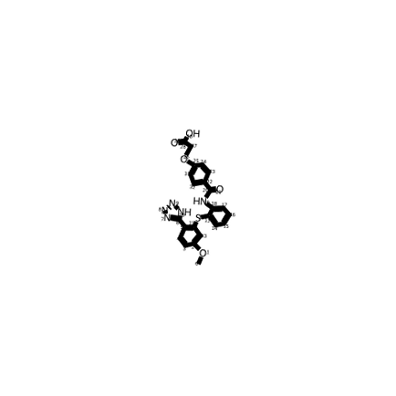 COc1ccc(-c2nnn[nH]2)c(Sc2ccccc2NC(=O)c2ccc(OCC(=O)O)cc2)c1